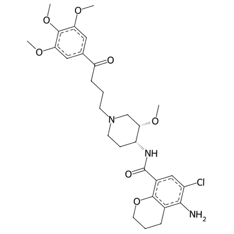 COc1cc(C(=O)CCCN2CC[C@@H](NC(=O)c3cc(Cl)c(N)c4c3OCCC4)[C@@H](OC)C2)cc(OC)c1OC